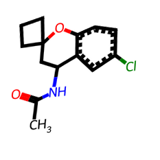 CC(=O)NC1CC2(CCC2)Oc2ccc(Cl)cc21